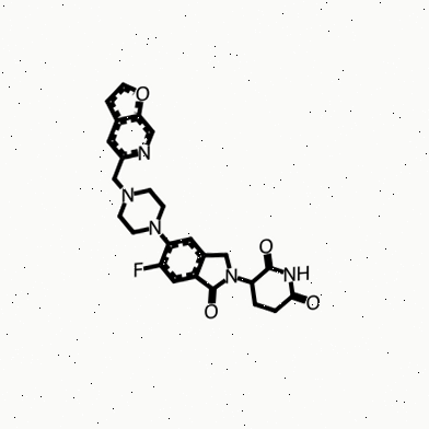 O=C1CCC(N2Cc3cc(N4CCN(Cc5cc6ccoc6cn5)CC4)c(F)cc3C2=O)C(=O)N1